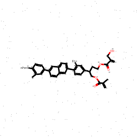 C=C(C)C(=O)OCC(CCOC(=O)C(=C)CO)c1ccc(-c2ccc3cc(-c4ccc(CCCCC)c(C)c4)ccc3c2)c(CC)c1